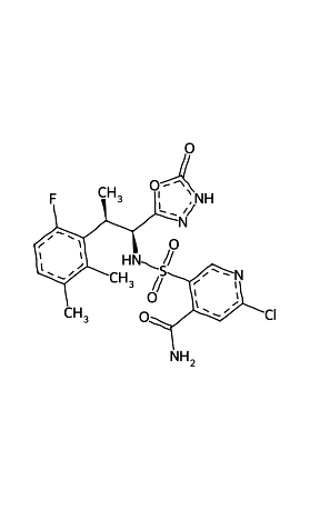 Cc1ccc(F)c([C@@H](C)[C@H](NS(=O)(=O)c2cnc(Cl)cc2C(N)=O)c2n[nH]c(=O)o2)c1C